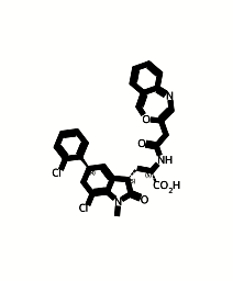 CN1C(=O)[C@@H](C[C@H](NC(=O)CC2=CN=c3ccccc3=CO2)C(=O)O)C2=C[C@H](c3ccccc3Cl)CC(Cl)=C21